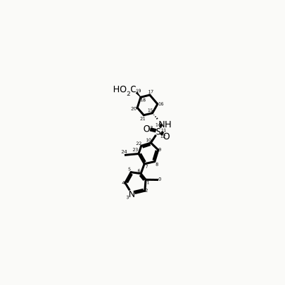 Cc1cnccc1-c1ccc(S(=O)(=O)N[C@H]2CC[C@H](C(=O)O)CC2)cc1C